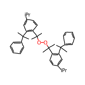 CC(C)c1ccc(C(C)(C)OOC(C)(C)c2ccc(C(C)C)cc2C(C)(C)c2ccccc2)c(C(C)(C)c2ccccc2)c1